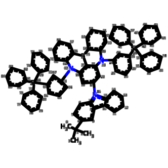 CC(C)(C)c1ccc2c(c1)c1ccccc1n2-c1cc2c3c(c1)N(c1cccc([Si](c4ccccc4)(c4ccccc4)c4ccccc4)c1)c1ccccc1B3c1ccccc1N2c1cccc([Si](c2ccccc2)(c2ccccc2)c2ccccc2)c1